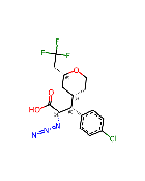 [N-]=[N+]=N[C@H](C(=O)O)[C@@H](c1ccc(Cl)cc1)[C@H]1CCO[C@@H](CC(F)(F)F)C1